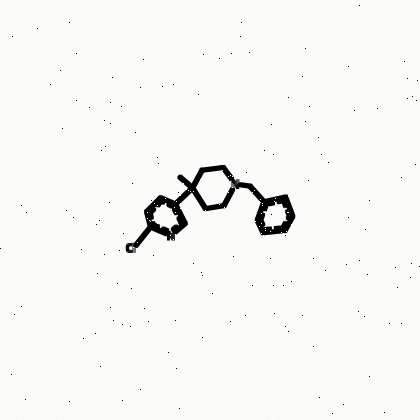 CC1(c2ccc(Cl)nc2)CCN(Cc2ccccc2)CC1